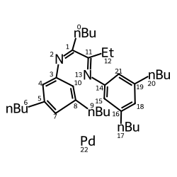 CCCCC(=Nc1cc(CCCC)cc(CCCC)c1)C(CC)=Nc1cc(CCCC)cc(CCCC)c1.[Pd]